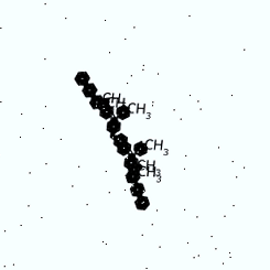 Cc1ccc(N(c2ccc(Cc3ccc4cc(N(c5ccc(C)cc5)c5ccc6c(c5)C(C)(C)c5cc(-c7ccc(-c8ccccc8)cc7)ccc5-6)ccc4c3)cc2)c2ccc3c(c2)C(C)(C)c2cc(-c4ccc(-c5ccccc5)cc4)ccc2-3)cc1